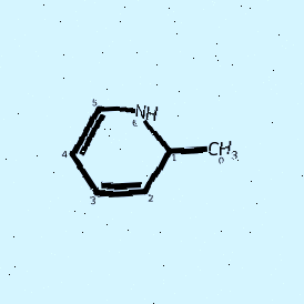 C[C]1C=CC=CN1